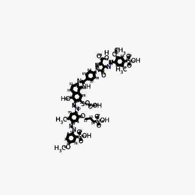 COc1ccc(/N=N/c2cc(OCCCS(=O)(=O)O)c(/N=N/c3c(SOOO)cc4c(ccc5nc(-c6ccc(N7N=C(C(=O)O)C(/N=N/c8cc(C)c(S(=O)(=O)O)cc8OC)C7=O)cc6)[nH]c54)c3O)cc2C)c(S(=O)(=O)O)c1